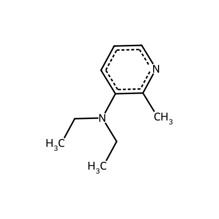 CCN(CC)c1cccnc1C